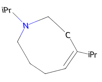 CC(C)/C1=C/CCCN(C(C)C)CC1